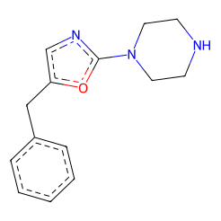 c1ccc(Cc2cnc(N3CCNCC3)o2)cc1